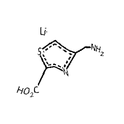 Nc1csc(C(=O)O)n1.[Li]